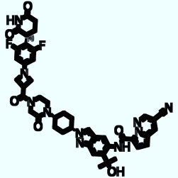 CC(C)(O)c1cc2nn([C@H]3CC[C@H](N4CCN(C(=O)C5CN(c6cc(F)c([C@H]7CCC(=O)NC7=O)c(F)c6)C5)CC4=O)CC3)cc2cc1NC(=O)c1ccc2cc(C#N)cnn12